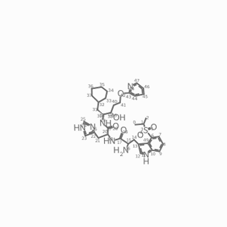 CC(C)S(=O)(=O)c1cccc2[nH]cc(CC(N)C(=O)NC(Cc3c[nH]cn3)C(=O)N[C@@H](CC3CCCCC3)[C@@H](O)CCOc3ccccn3)c12